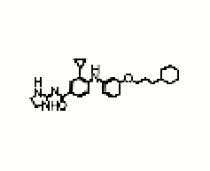 O=C(N=C1NCCN1)c1ccc(Nc2cccc(OCCCC3CCCCC3)c2)c(C2CC2)c1